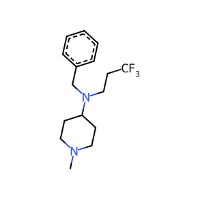 CN1CCC(N(CCC(F)(F)F)Cc2ccccc2)CC1